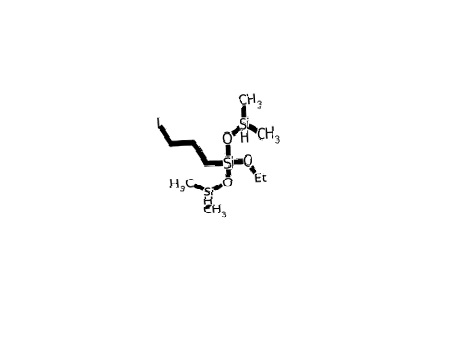 CCO[Si](CCCI)(O[SiH](C)C)O[SiH](C)C